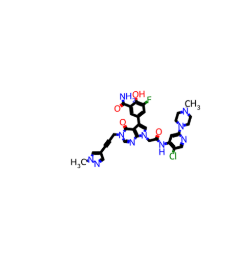 CN1CCN(c2cc(NC(=O)Cn3cc(-c4cc(F)c(O)c(C(N)=O)c4)c4c(=O)n(CC#Cc5cnn(C)c5)cnc43)c(Cl)cn2)CC1